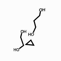 C1CC1.OCCCO.OCCO